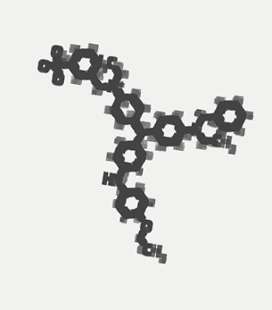 CCOc1ccc(Nc2ccc(C(=C3C=CC(=[N+](CC)Cc4cccc(S(=O)(=O)[O-])c4)C=C3)c3ccc(N(CC)Cc4ccccc4)cc3)cc2)cc1